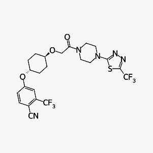 N#Cc1ccc(O[C@H]2CC[C@H](OCC(=O)N3CCN(c4nnc(C(F)(F)F)s4)CC3)CC2)cc1C(F)(F)F